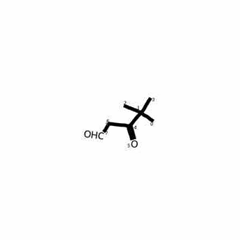 CC(C)(C)C(=O)[CH]C=O